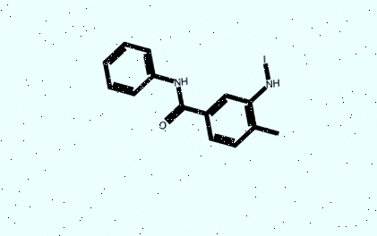 Cc1ccc(C(=O)Nc2ccccc2)cc1NI